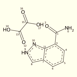 NC(=O)c1cccc2c[nH]nc12.O=C(O)C(=O)O